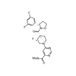 CNC(=O)c1cc(N2CC[C@@H](C(=O)N3OCC[C@H]3c3cc(F)cc(F)c3)[C@@H](F)C2)ncn1